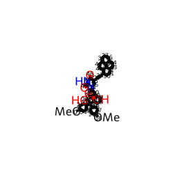 COc1ccc(C(c2ccccc2)(c2ccc(OC)cc2)C(O)[C@H]2O[C@@H](n3cc(C#Cc4ccc5ccc6cccc7ccc4c5c67)c(=O)[nH]c3=O)C[C@@H]2O)cc1